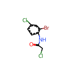 O=C(CCl)Nc1ccc(Cl)cc1Br